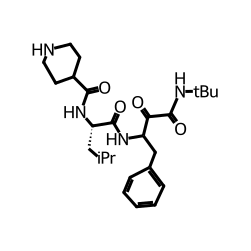 CC(C)C[C@H](NC(=O)C1CCNCC1)C(=O)NC(Cc1ccccc1)C(=O)C(=O)NC(C)(C)C